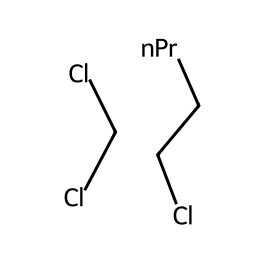 CCCCCCl.ClCCl